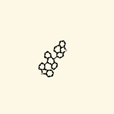 c1ccc2c(c1)oc1cccc(-c3c4ccccc4c(-c4ccc5oc6cccc7ccc4c5c76)c4ccccc34)c12